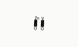 [O]=[V].[O]=[Zn]